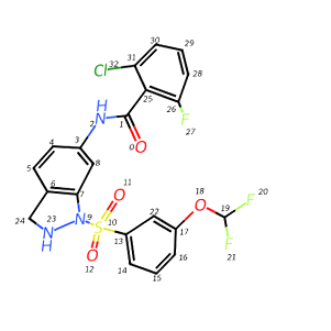 O=C(Nc1ccc2c(c1)N(S(=O)(=O)c1cccc(OC(F)F)c1)NC2)c1c(F)cccc1Cl